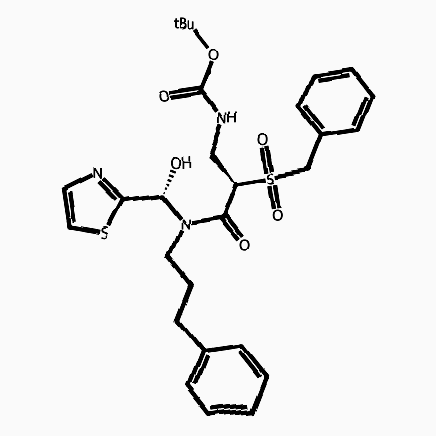 CC(C)(C)OC(=O)NC[C@H](C(=O)N(CCCc1ccccc1)[C@@H](O)c1nccs1)S(=O)(=O)Cc1ccccc1